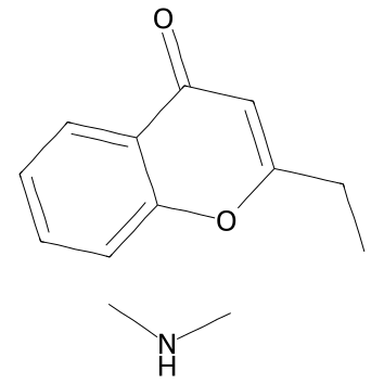 CCc1cc(=O)c2ccccc2o1.CNC